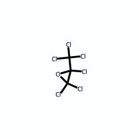 ClC(Cl)(Cl)C1(Cl)OC1(Cl)Cl